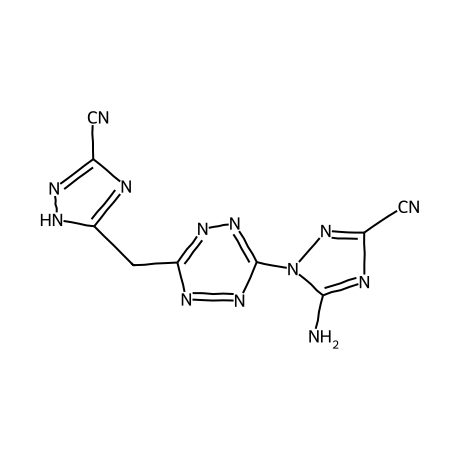 N#Cc1n[nH]c(Cc2nnc(-n3nc(C#N)nc3N)nn2)n1